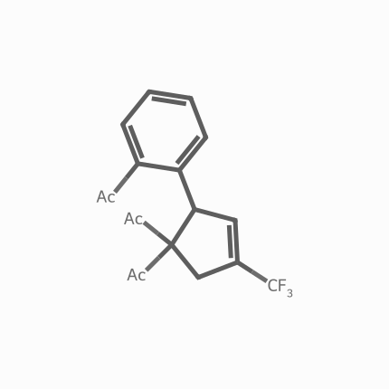 CC(=O)c1ccccc1C1C=C(C(F)(F)F)CC1(C(C)=O)C(C)=O